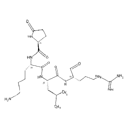 CC(C)C[C@H](NC(=O)[C@H](CCCCN)NC(=O)[C@@H]1CCC(=O)N1)C(=O)N[C@H](C=O)CCCNC(=N)N